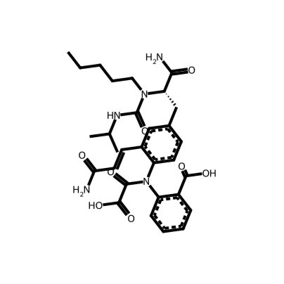 CCCCCN(C(=O)NC(C)C)[C@@H](Cc1ccc(N(C(=O)C(=O)O)c2ccccc2C(=O)O)c(/C=C/C(N)=O)c1)C(N)=O